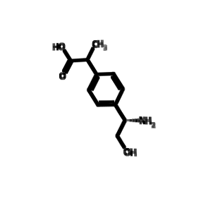 CC(C(=O)O)c1ccc([C@H](N)CO)cc1